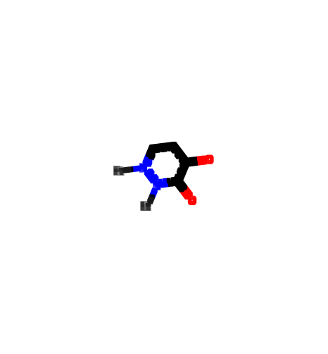 CCn1ccc(=O)c(=O)n1CC